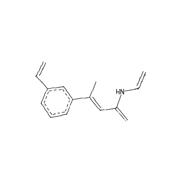 C=CNC(=C)/C=C(\C)c1cccc(C=C)c1